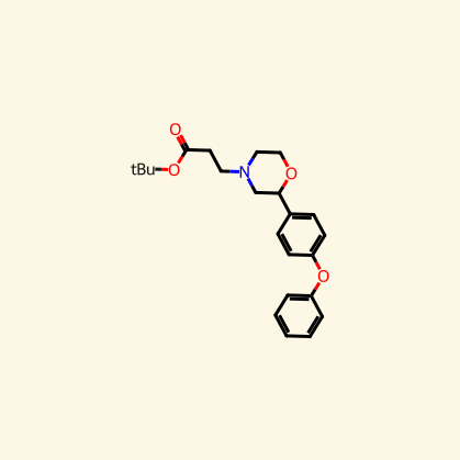 CC(C)(C)OC(=O)CCN1CCOC(c2ccc(Oc3ccccc3)cc2)C1